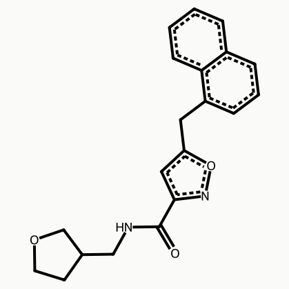 O=C(NCC1CCOC1)c1cc(Cc2cccc3ccccc23)on1